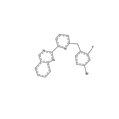 Fc1cc(Br)ccc1Cc1cccc(-c2ncc3ccccc3n2)n1